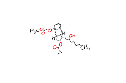 CCCCC[C@H](O)CC[C@@H]1[C@H]2Cc3cccc(OCC(=O)OC)c3C[C@H]2C[C@H]1OC(=O)C1CC1